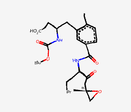 Cc1ccc(C(=O)NC(CC(C)C)C(=O)[C@@]2(C)CO2)cc1CC(CC(=O)O)NC(=O)OC(C)(C)C